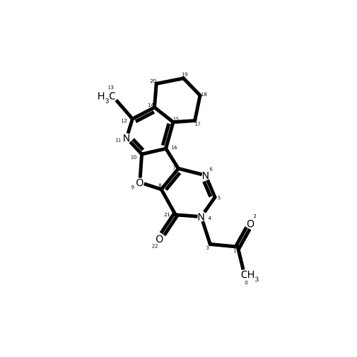 CC(=O)Cn1cnc2c(oc3nc(C)c4c(c32)CCCC4)c1=O